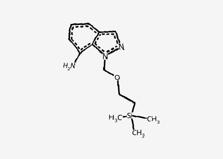 C[Si](C)(C)CCOCn1ncc2cccc(N)c21